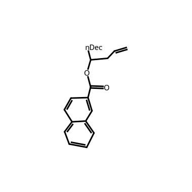 C=CCC(CCCCCCCCCC)OC(=O)c1ccc2ccccc2c1